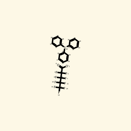 O=C([O-])C(F)(F)C(F)(F)C(F)(F)C(F)(F)F.c1ccc([S+](c2ccccc2)c2ccccc2)cc1